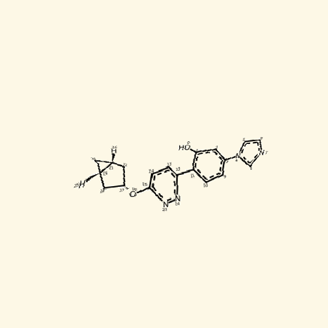 Oc1cc(-n2ccnc2)ccc1-c1ccc(O[C@@H]2C[C@@H]3C[C@@H]3C2)nn1